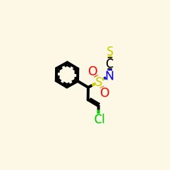 O=S(=O)(N=C=S)C(C=CCl)c1ccccc1